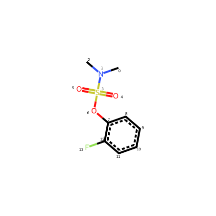 CN(C)S(=O)(=O)Oc1ccccc1F